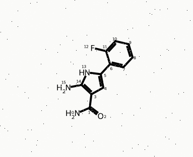 NC(=O)c1cc(-c2ccccc2F)[nH]c1N